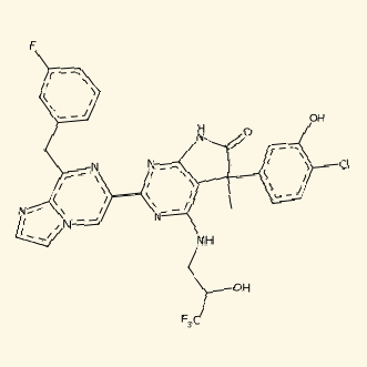 CC1(c2ccc(Cl)c(O)c2)C(=O)Nc2nc(-c3cn4ccnc4c(Cc4cccc(F)c4)n3)nc(NCC(O)C(F)(F)F)c21